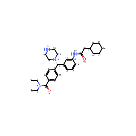 CCN(CC)C(=O)c1ccc([C@@H](c2cccc(NC(=O)CC3CCCCC3)c2)N2CCNCC2)cc1